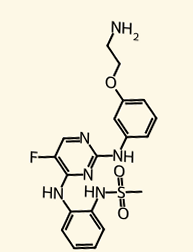 CS(=O)(=O)Nc1ccccc1Nc1nc(Nc2cccc(OCCN)c2)ncc1F